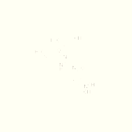 CSCCC1NC2(CCN(C(=O)c3cccc(N(C)C)c3)CC2)N(Cc2cc(C)cc(C)c2)C1=O